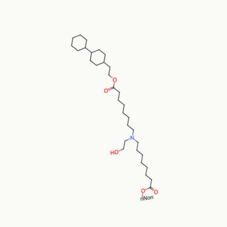 CCCCCCCCCOC(=O)CCCCCCCN(CCO)CCCCCCCC(=O)OCCC1CCC(C2CCCCC2)CC1